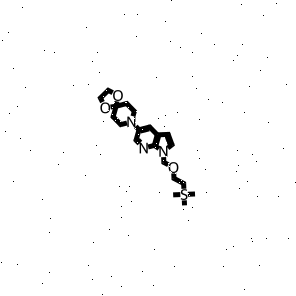 CS(C)(C)CCOCn1ccc2cc(N3CCC4(CC3)OCCO4)cnc21